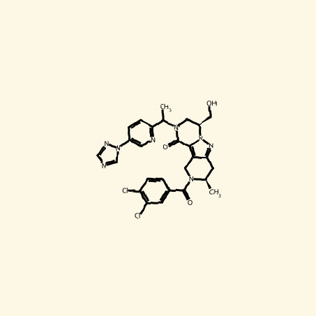 CC(c1ccc(-n2cncn2)cn1)N1C[C@@H](CO)n2nc3c(c2C1=O)CN(C(=O)c1ccc(Cl)c(Cl)c1)[C@H](C)C3